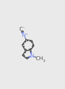 [C-]#[N+]c1ccc2c(ccn2C)c1